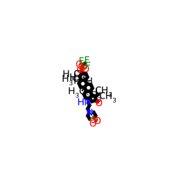 CC(C)C1=C2[C@H]3CC[C@@H]4[C@@]5(C)CC=C(OS(=O)(=O)C(F)(F)F)C(C)(C)[C@@H]5CC[C@@]4(C)[C@]3(C)CC[C@@]2(NCCN2CCS(=O)(=O)CC2)CC1=O